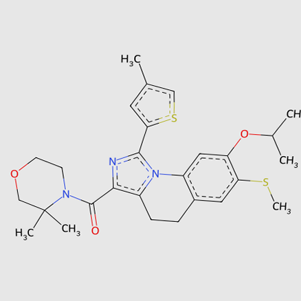 CSc1cc2c(cc1OC(C)C)-n1c(-c3cc(C)cs3)nc(C(=O)N3CCOCC3(C)C)c1CC2